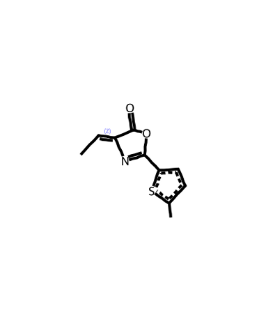 C/C=C1\N=C(c2ccc(C)s2)OC1=O